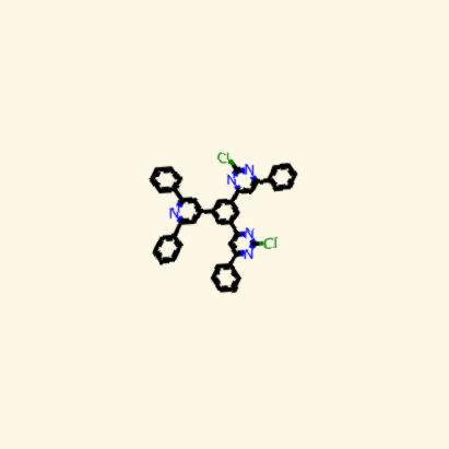 Clc1nc(-c2ccccc2)cc(-c2cc(-c3cc(-c4ccccc4)nc(-c4ccccc4)c3)cc(-c3cc(-c4ccccc4)nc(Cl)n3)c2)n1